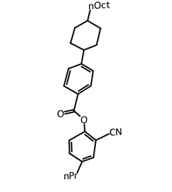 CCCCCCCCC1CCC(c2ccc(C(=O)Oc3ccc(CCC)cc3C#N)cc2)CC1